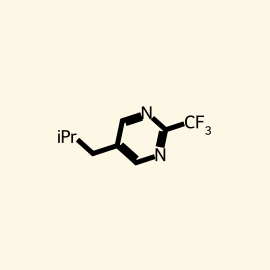 CC(C)Cc1cnc(C(F)(F)F)nc1